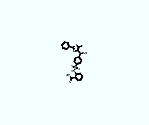 Cc1oc(-c2ccccc2)nc1C(S)c1ccc(S(=O)(=O)Nc2ccccc2C(=O)O)cc1